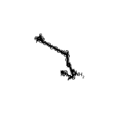 CCCN(CCCNC(=O)OC1CCC1)C(=O)C1=Cc2sc(C#CC3CCN(CCOCCOC(CO)OCCOCCOCCOCCOCCOCCOCCC(=O)Oc4c(F)c(F)cc(F)c4F)CC3)cc2N=C(N)C1